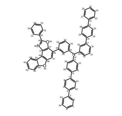 c1ccc(-c2ccc(-c3ccc(N(c4cccc(-c5ccc(-c6ccccc6)cc5)c4)c4cccc(-c5cc6oc7ccccc7c6c6nc(-c7ccccc7)oc56)c4)cc3)cc2)cc1